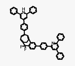 FC1(F)C2=CC=C(c3ccc(C4=CC(c5ccccc5)NC(c5ccccc5)=C4)cc3)C=C(C2)c2cc(-c3ccc(-c4cc(-c5ccccc5)cc(-c5ccccc5)n4)cc3)ccc21